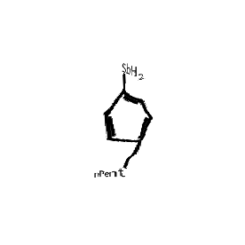 CCCCCCc1cc[c]([SbH2])cc1